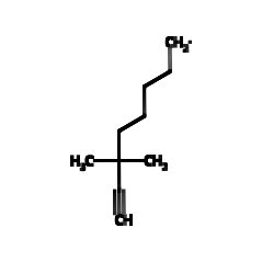 C#CC(C)(C)CCCC[CH2]